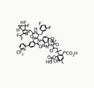 Cc1cc(CC(=O)O)c(C(C)(C)CC(=O)N(c2nn(C)c3c(-n4c([C@H](Cc5cc(F)cc(F)c5)NC(=O)Cn5nc(C(F)F)c6c5C(F)(F)[C@@H]5C[C@H]65)nc5cc(-c6cccc(C(F)(F)F)n6)ccc5c4=O)ccc(Cl)c23)S(C)(=O)=O)c(OP(=O)(O)O)c1